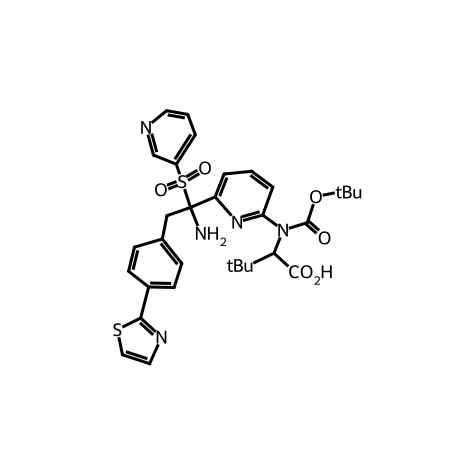 CC(C)(C)OC(=O)N(c1cccc(C(N)(Cc2ccc(-c3nccs3)cc2)S(=O)(=O)c2cccnc2)n1)C(C(=O)O)C(C)(C)C